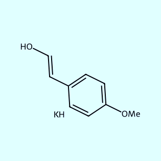 COc1ccc(C=CO)cc1.[KH]